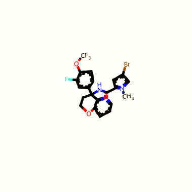 Cn1cc(Br)cc1C(=O)NC1(c2ccc(OC(F)(F)F)c(F)c2)CCOc2cccnc21